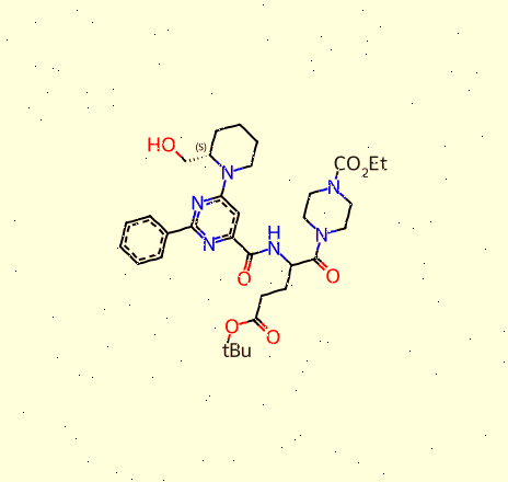 CCOC(=O)N1CCN(C(=O)C(CCC(=O)OC(C)(C)C)NC(=O)c2cc(N3CCCC[C@H]3CO)nc(-c3ccccc3)n2)CC1